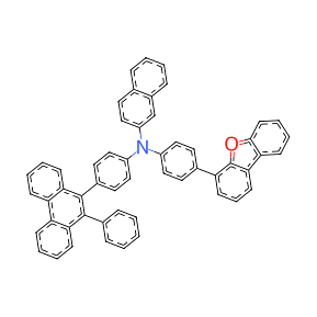 c1ccc(-c2c(-c3ccc(N(c4ccc(-c5cccc6c5oc5ccccc56)cc4)c4ccc5ccccc5c4)cc3)c3ccccc3c3ccccc23)cc1